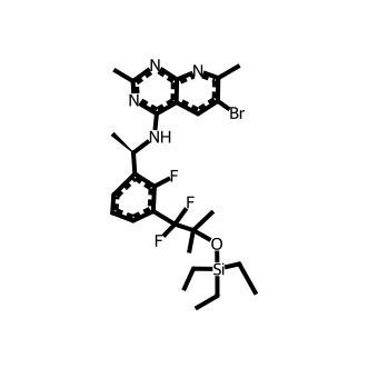 CC[Si](CC)(CC)OC(C)(C)C(F)(F)c1cccc([C@@H](C)Nc2nc(C)nc3nc(C)c(Br)cc23)c1F